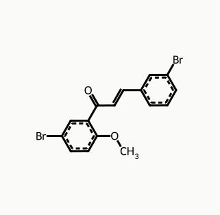 COc1ccc(Br)cc1C(=O)/C=C/c1cccc(Br)c1